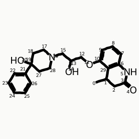 CC1CC(=O)Nc2cccc(OCC(O)CN3CCC(O)(c4ccccc4)CC3)c21